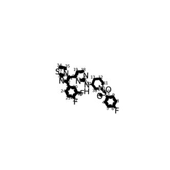 O=S(=O)(c1ccc(F)cc1)N1CCC[C@@H](Nc2nccc(-c3c(-c4ccc(F)c(F)c4)nc4sccn34)n2)C1